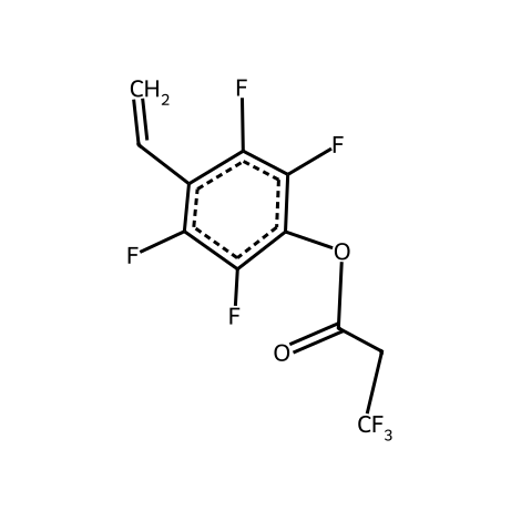 C=Cc1c(F)c(F)c(OC(=O)CC(F)(F)F)c(F)c1F